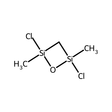 C[Si]1(Cl)C[Si](C)(Cl)O1